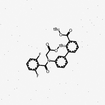 CC(C)(C)OC(=O)CN(C(=O)c1c(F)cccc1F)c1cccc(-c2cccc(C(=O)OC(C)(C)C)c2)c1